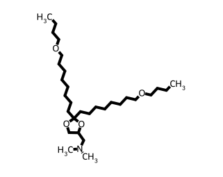 CCCCOCCCCCCCCC1(CCCCCCCCOCCCC)OCC(CN(C)C)O1